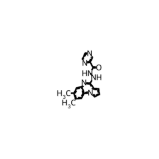 Cc1cc2nc(NNC(=O)c3cnccn3)c3cccn3c2cc1C